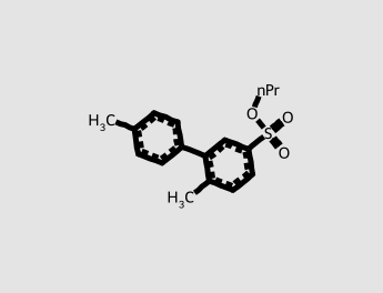 CCCOS(=O)(=O)c1ccc(C)c(-c2ccc(C)cc2)c1